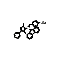 CC1=[C]([Zr](=[CH]c2ccc(C(C)(C)C)cc2)[CH]2c3ccccc3-c3ccccc32)C(C)C=C1c1ccccc1